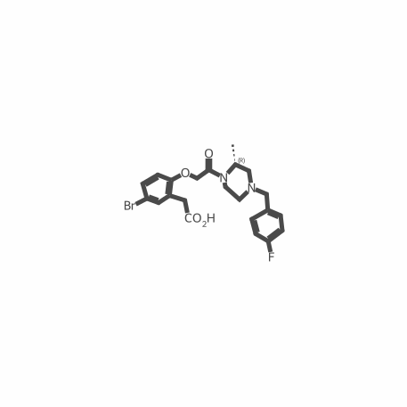 C[C@@H]1CN(Cc2ccc(F)cc2)CCN1C(=O)COc1ccc(Br)cc1CC(=O)O